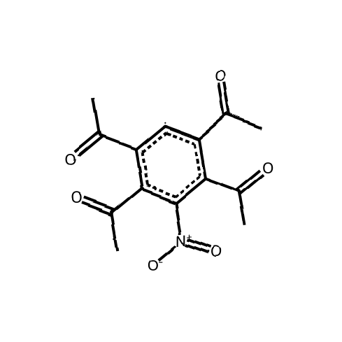 CC(=O)c1[c]c(C(C)=O)c(C(C)=O)c([N+](=O)[O-])c1C(C)=O